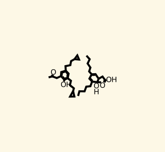 CC(=O)Cc1cc(CCCC2CC2)cc(CCCC2CC2)c1O.CCCCCC1=CC(CC(=O)O)C(C)(O)C(CCCCC)=C1